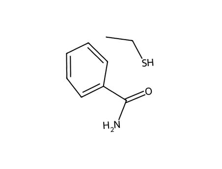 CCS.NC(=O)c1ccccc1